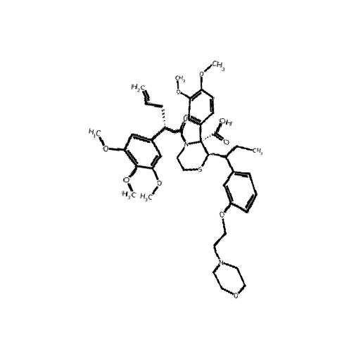 C=CC[C@H](C(=O)N1CCS[C@H](C(CC)c2cccc(OCCN3CCOCC3)c2)[C@]1(C(=O)O)c1ccc(OC)c(OC)c1)c1cc(OC)c(OC)c(OC)c1